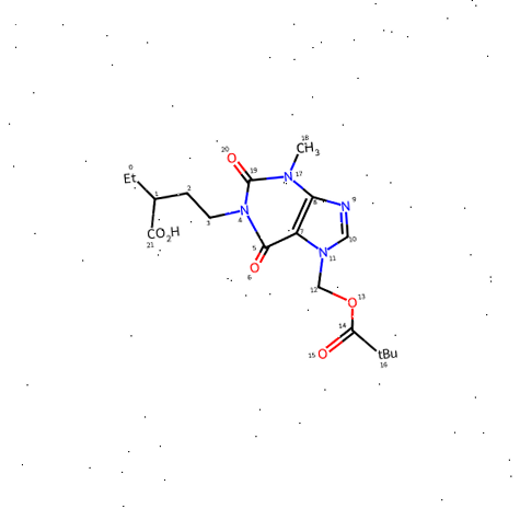 CCC(CCn1c(=O)c2c(ncn2COC(=O)C(C)(C)C)n(C)c1=O)C(=O)O